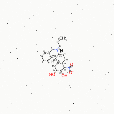 CCCN1Cc2ccccc2[C@H]2c3cc(O)c(O)c([N+](=O)[O-])c3CC[C@@H]21